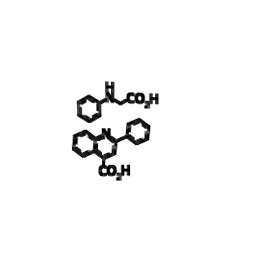 O=C(O)CNc1ccccc1.O=C(O)c1cc(-c2ccccc2)nc2ccccc12